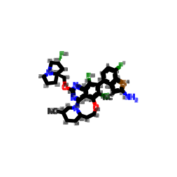 N#Cc1c(N)sc2c(F)ccc(-c3c(Cl)c4c5c(nc(OC[C@@]67CCCN6C[C@H](F)C7)nc5c3F)N3CC(C#N)CCC3CCO4)c12